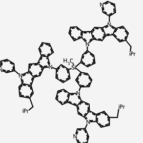 CC(C)Cc1ccc2c(c1)c1cc3c(cc1n2-c1cccnc1)c1ccccc1n3-c1cccc([Si](C)(c2cccc(-n3c4ccccc4c4cc5c(cc43)c3cc(CC(C)C)ccc3n5-c3cccnc3)c2)c2cccc(-n3c4ccccc4c4cc5c(cc43)c3cc(CC(C)C)ccc3n5-c3cccnc3)c2)c1